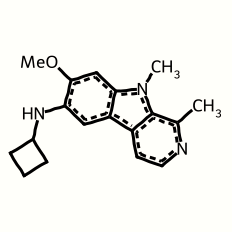 COc1cc2c(cc1NC1CCC1)c1ccnc(C)c1n2C